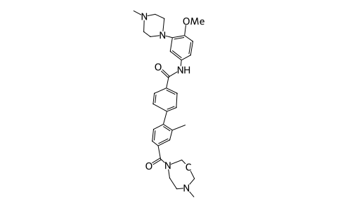 COc1ccc(NC(=O)c2ccc(-c3ccc(C(=O)N4CCCN(C)CC4)cc3C)cc2)cc1N1CCN(C)CC1